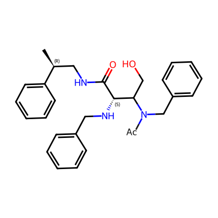 CC(=O)N(Cc1ccccc1)C(CO)[C@H](NCc1ccccc1)C(=O)NC[C@H](C)c1ccccc1